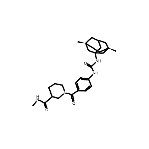 CNC(=O)C1CCCN(C(=O)c2ccc(NC(=O)NC34CC5C[C@@](C)(C3)C[C@](C)(C5)C4)cc2)C1